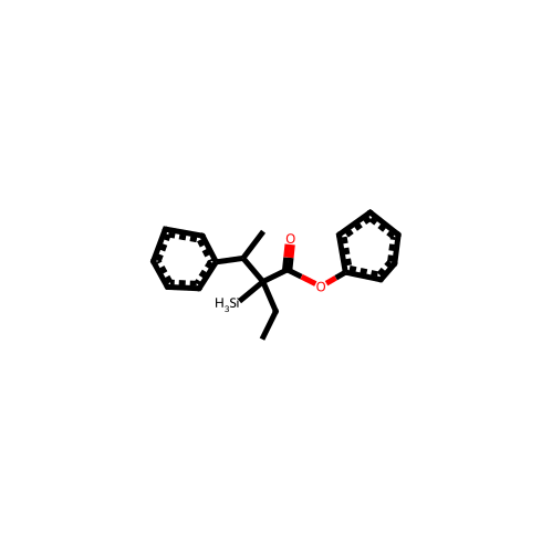 CCC([SiH3])(C(=O)Oc1ccccc1)C(C)c1ccccc1